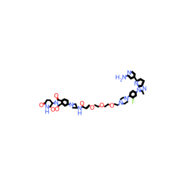 Cc1nc2ccc(-c3ccnc(N)c3)nc2n1-c1ccc(N2CCN(CCOCCOCCOC=CC(=O)NC3CN(c4ccc5c(c4)C(=O)N(C4CCC(=O)NC4=O)C5=O)C3)CC2)c(F)c1